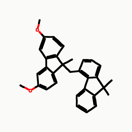 COc1ccc2c(c1)-c1cc(OC)ccc1C2(C)Cc1cccc2c1-c1ccccc1C2(C)C